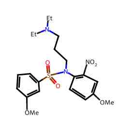 CCN(CC)CCCN(c1ccc(OC)cc1[N+](=O)[O-])S(=O)(=O)c1cccc(OC)c1